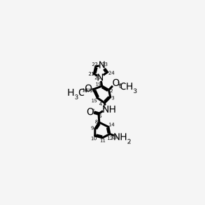 COc1cc(NC(=O)c2cccc(N)c2)cc(OC)c1-n1ccnc1